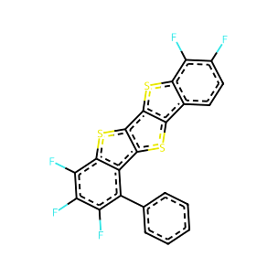 Fc1ccc2c(sc3c2sc2c3sc3c(F)c(F)c(F)c(-c4ccccc4)c32)c1F